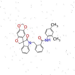 Cc1ccc(NC(=O)c2ccccc2CN2C(=O)C3(COc4cc5c(cc43)OCO5)c3ccccc32)c(C)c1